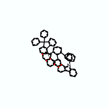 c1ccc(-c2ccccc2-c2c(-c3ccccc3)cccc2N(c2cccc(-c3ccc4c5ccccc5n(-c5ccccc5)c4c3)c2)c2cccc3c2-c2ccccc2C3(c2ccccc2)c2ccccc2)cc1